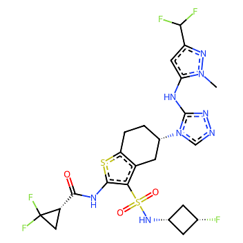 Cn1nc(C(F)F)cc1Nc1nncn1[C@H]1CCc2sc(NC(=O)[C@@H]3CC3(F)F)c(S(=O)(=O)N[C@H]3C[C@@H](F)C3)c2C1